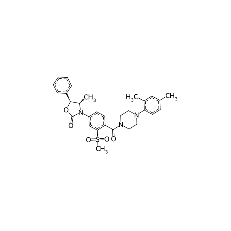 Cc1ccc(N2CCN(C(=O)c3ccc(N4C(=O)O[C@@H](c5ccccc5)[C@H]4C)cc3S(C)(=O)=O)CC2)c(C)c1